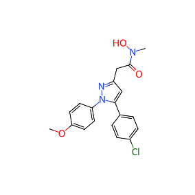 COc1ccc(-n2nc(CC(=O)N(C)O)cc2-c2ccc(Cl)cc2)cc1